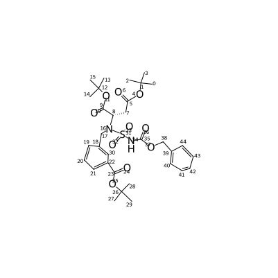 CC(C)(C)OC(=O)C[C@@H](C(=O)OC(C)(C)C)N(Cc1cccc(C(=O)OC(C)(C)C)c1)S(=O)(=O)NC(=O)OCc1ccccc1